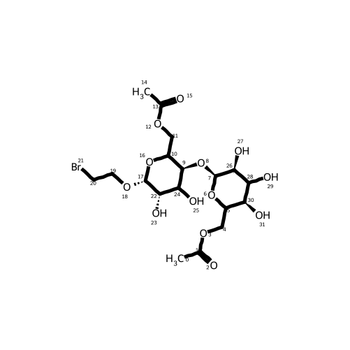 CC(=O)OCC1O[C@@H](O[C@@H]2C(COC(C)=O)O[C@@H](OCCBr)[C@@H](O)C2O)[C@@H](O)C(O)[C@H]1O